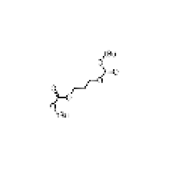 CC(C)(C)OC(=O)OCCCOC(=O)OC(C)(C)C